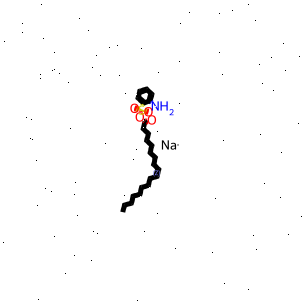 CCCCCCCC/C=C\CCCCCCCC(=O)OS(=O)(=O)c1ccccc1N.[Na]